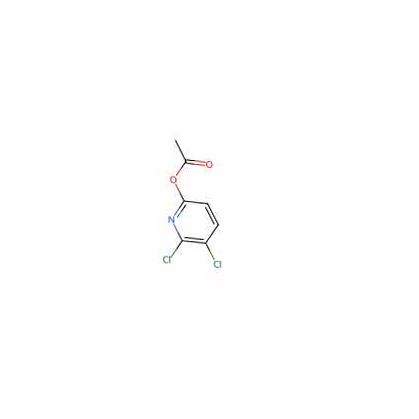 CC(=O)Oc1ccc(Cl)c(Cl)n1